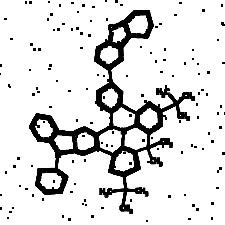 CC(C)(C)c1cc2c3c(c1)C(C)(C)c1cc(C(C)(C)C)cc4c1N3B(c1ccc(-c3ccc5oc6ccccc6c5c3)cc1-2)c1cc2c3ccccc3n(-c3ccccc3)c2cc1-4